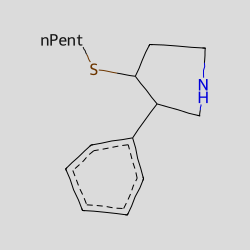 CCCCCSC1CCNCC1c1ccccc1